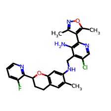 Cc1cc2c(cc1NCc1c(Cl)cnc(-c3c(C)noc3C)c1N)OC(c1ncccc1F)CC2